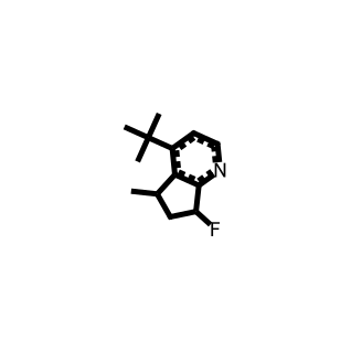 CC1CC(F)c2nccc(C(C)(C)C)c21